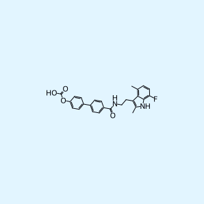 Cc1[nH]c2c(F)ccc(C)c2c1CCNC(=O)c1ccc(-c2ccc(OC(=O)O)cc2)cc1